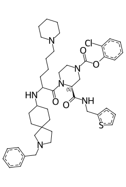 O=C(NCc1cccs1)[C@@H]1CN(C(=O)Oc2ccccc2Cl)CCN1C(=O)C(CCCCN1CCCCC1)NC1CCC2(CC1)CCN(Cc1ccccc1)C2